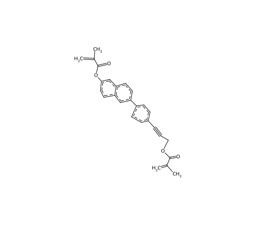 C=C(C)C(=O)OCC#Cc1ccc(-c2ccc3cc(OC(=O)C(=C)C)ccc3c2)cc1